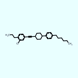 CCCCCCc1ccc(C2CCC(C#Cc3ccc(CCC)c(Cl)c3)CC2)cc1